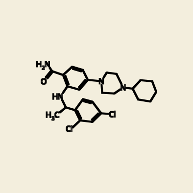 CC(Nc1cc(N2CCN(C3CCCCC3)CC2)ccc1C(N)=O)c1ccc(Cl)cc1Cl